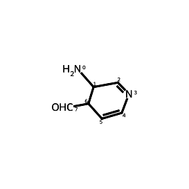 NC1C=NC=CC1C=O